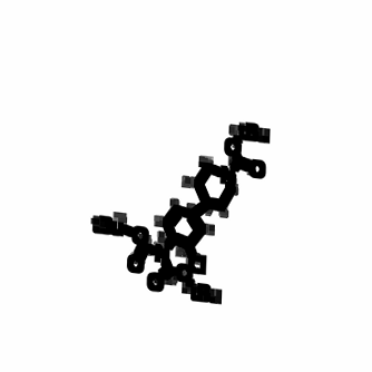 CC(C)(C)OC(=O)N1CC=C(c2ccc(N(C(=O)OC(C)(C)C)C(=O)OC(C)(C)C)c(Cl)c2)CC1